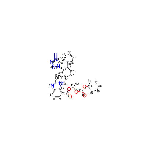 CCCc1nc2cccc(C(=O)OC(C)OC(=O)OC3CCCCC3)c2n1Cc1ccc(-c2ccccc2-c2nnn[nH]2)cc1